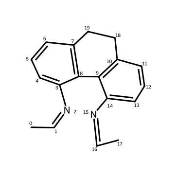 C/C=N\c1cccc2c1-c1c(cccc1/N=C\C)CC2